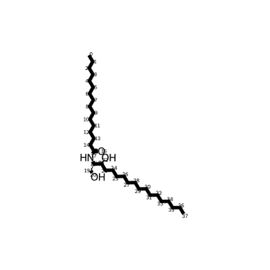 CCCCCCCCCCCCCCCC(=O)N[C@@H](CO)[C@H](O)CCCCCCCCCCCCCCC